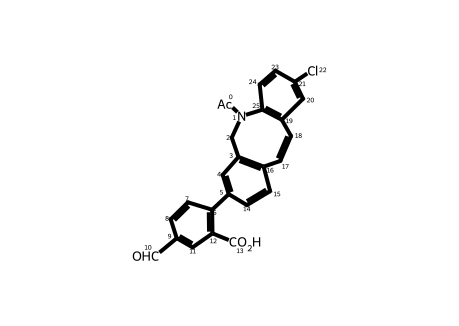 CC(=O)N1Cc2cc(-c3ccc(C=O)cc3C(=O)O)ccc2C=Cc2cc(Cl)ccc21